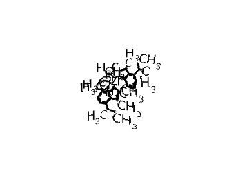 CCC(C)c1ccc(C)c2c1C(C)=C(C)[CH]2[Zr]([Cl])([Cl])([CH]1C(C)=C(C)c2c(C(C)CC)ccc(C)c21)=[Si](C)C